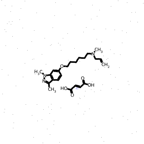 C=CCN(C)CCCCCCOc1ccc2c(C)nn(C)c2c1.O=C(O)/C=C/C(=O)O